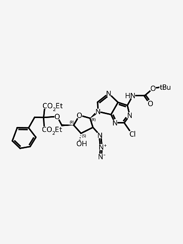 CCOC(=O)C(Cc1ccccc1)(OC[C@H]1O[C@@H](n2cnc3c(NC(=O)OC(C)(C)C)nc(Cl)nc32)C(N=[N+]=[N-])[C@@H]1O)C(=O)OCC